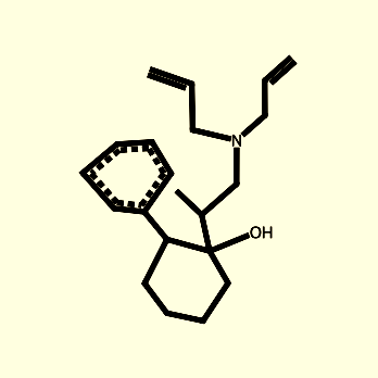 C=CCN(CC=C)CC(C)C1(O)CCCCC1c1ccccc1